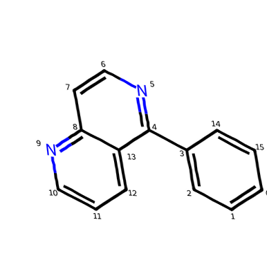 c1ccc(-c2nccc3ncccc23)cc1